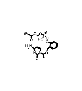 CC(C)C(=O)OCOP(=O)(O)OOc1ccccc1COC(C)n1ccc(N)nc1=O